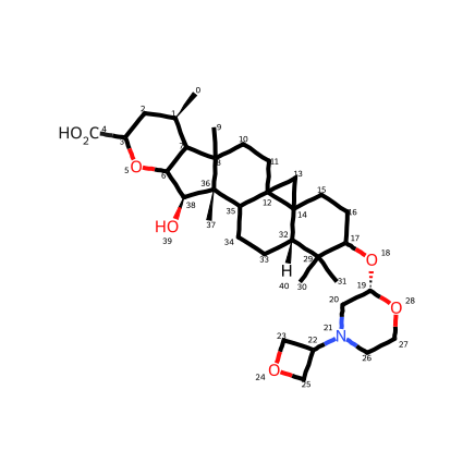 C[C@@H]1CC(C(=O)O)OC2C1C1(C)CCC34CC35CCC(O[C@H]3CN(C6COC6)CCO3)C(C)(C)[C@@H]5CCC4[C@]1(C)[C@H]2O